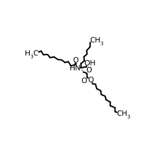 CCCCCCCCCCCCOC(=O)CC[C@@](CCCCCCCC)(NC(=O)CCCCCCCCCCC)C(=O)O